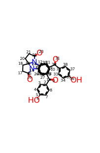 O=C(c1ccc(O)cc1)c1cccc(N2C(=O)CCC23CCC(=O)N3c2cccc(C(=O)c3ccc(O)cc3)c2)c1